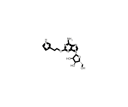 Nc1nc(OCCc2cc[nH]c2)nc2c1ncn2[C@@H]1O[C@H](CO)[C@@H](O)[C@H]1O